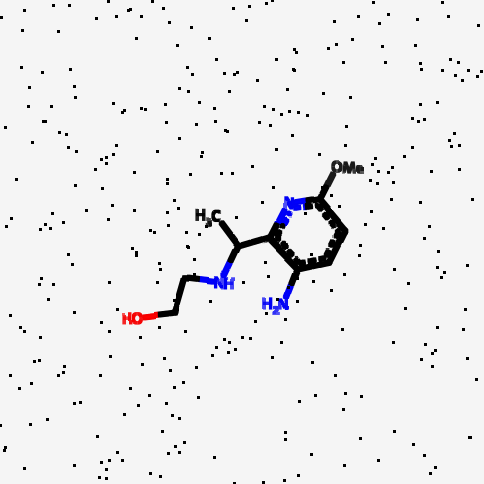 COc1ccc(N)c(C(C)NCCO)n1